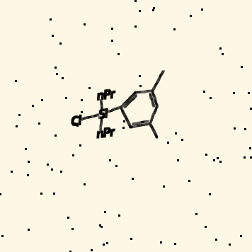 CCC[Si](Cl)(CCC)c1cc(C)cc(C)c1